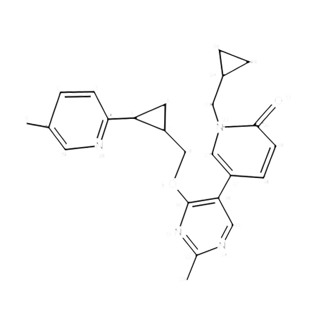 Cc1ccc(C2CC2COc2nc(C)ncc2-c2ccc(=O)n(CC3CC3)c2)nc1